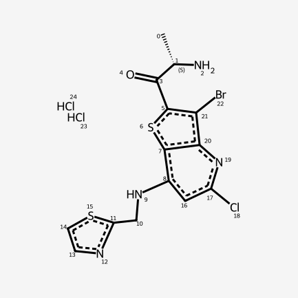 C[C@H](N)C(=O)c1sc2c(NCc3nccs3)cc(Cl)nc2c1Br.Cl.Cl